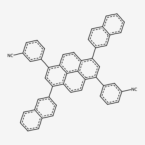 [C-]#[N+]c1cccc(-c2cc(-c3ccc4ccccc4c3)c3ccc4c(-c5cccc(C#N)c5)cc(-c5ccc6ccccc6c5)c5ccc2c3c45)c1